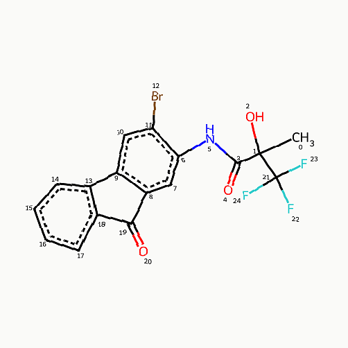 CC(O)(C(=O)Nc1cc2c(cc1Br)-c1ccccc1C2=O)C(F)(F)F